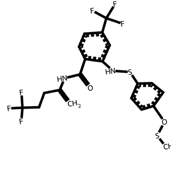 C=C(CCC(F)(F)F)NC(=O)c1ccc(C(F)(F)F)cc1NSc1ccc(OSC)cc1